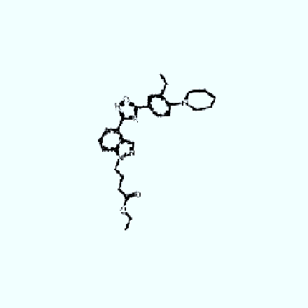 CCOC(=O)CCCn1ncc2c(-c3noc(-c4ccc(N5CCCCC5)c(CC)c4)n3)cccc21